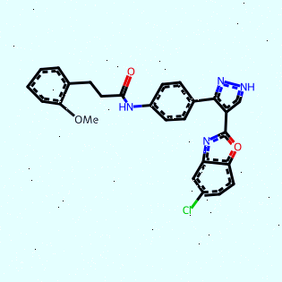 COc1ccccc1CCC(=O)Nc1ccc(-c2n[nH]cc2-c2nc3cc(Cl)ccc3o2)cc1